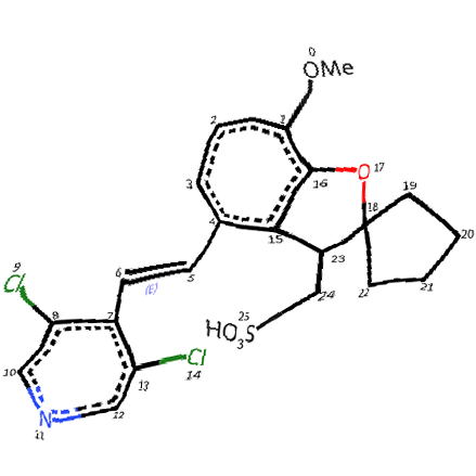 COc1ccc(/C=C/c2c(Cl)cncc2Cl)c2c1OC1(CCCC1)C2CS(=O)(=O)O